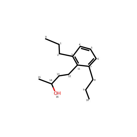 CCCc1cccc(CCC)c1CCC(C)O